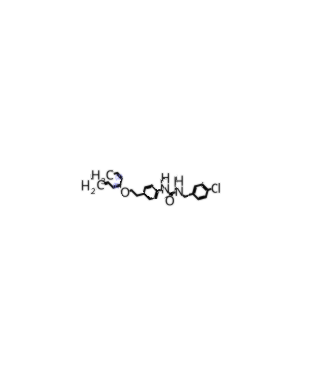 C=C/C=C(\C=C/C)OCCc1ccc(NC(=O)NCc2ccc(Cl)cc2)cc1